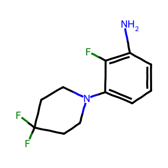 Nc1cccc(N2CCC(F)(F)CC2)c1F